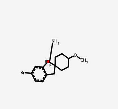 COC1CCC2(CC1)Cc1ccc(Br)cc1[C@]21COC(N)=N1